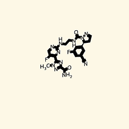 Cn1nc(C(N)=O)nc1-c1nc(NCCNC(=O)N2N=CC[C@H]2c2cc(F)cc(C#N)c2)ncc1F